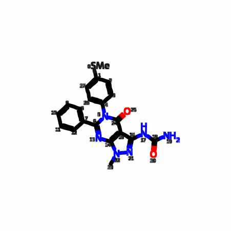 CSc1ccc(-n2c(-c3ccccc3)nc3c(c(NC(N)=O)nn3C)c2=O)cc1